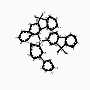 CC1(C)c2ccccc2-c2ccc(N(c3cccc(-c4ccccc4)c3)c3c4c(cc5ccccc35)C(C)(C)c3ccccc3-4)cc21